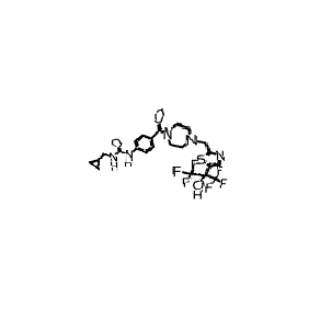 O=C(NCC1CC1)Nc1ccc(C(=O)N2CCN(Cc3ncc(C(O)(C(F)(F)F)C(F)(F)F)s3)CC2)cc1